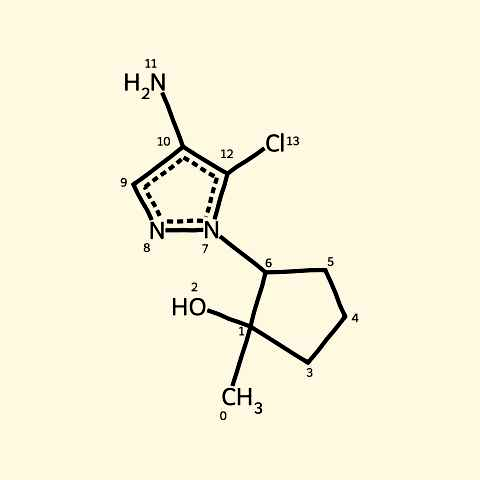 CC1(O)CCCC1n1ncc(N)c1Cl